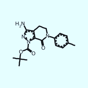 Cc1ccc(N2CCc3c(N)nn(C(=O)OC(C)(C)C)c3C2=O)cc1